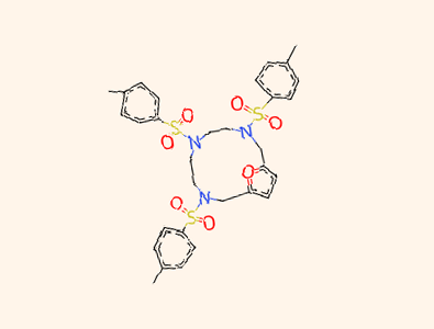 Cc1ccc(S(=O)(=O)N2CCN(S(=O)(=O)c3ccc(C)cc3)Cc3ccc(o3)CN(S(=O)(=O)c3ccc(C)cc3)CC2)cc1